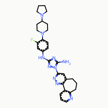 Nc1nc(Nc2ccc(N3CCC(N4CCCC4)CC3)c(F)c2)nn1-c1cc2c(nn1)-c1cccnc1CCC2